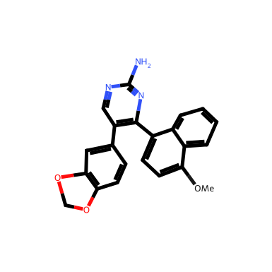 COc1ccc(-c2nc(N)ncc2-c2ccc3c(c2)OCO3)c2ccccc12